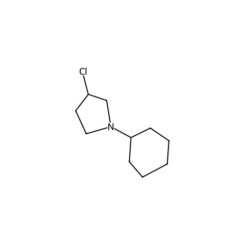 ClC1CCN(C2CCCCC2)C1